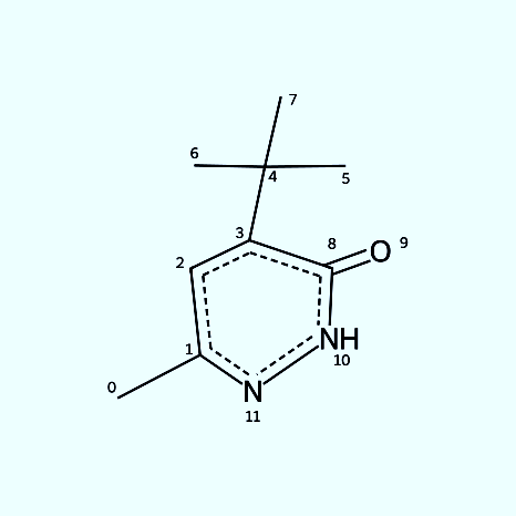 Cc1cc(C(C)(C)C)c(=O)[nH]n1